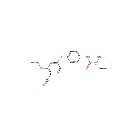 CCOc1cc(Oc2ccc(NC(=O)[C@@H](CC)NC)cc2)ccc1C#N